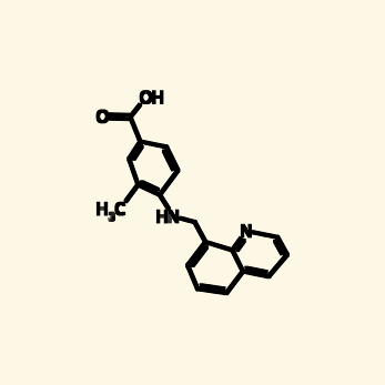 Cc1cc(C(=O)O)ccc1NCc1cccc2cccnc12